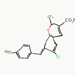 CCOC(=O)C1=CC2=C(CC(=Cc3ccc(C=O)cc3)C(Cl)=C2)OC1C(F)(F)F